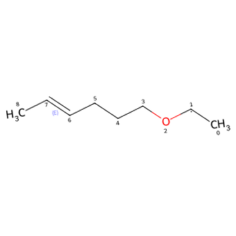 C[CH]OCCC/C=C/C